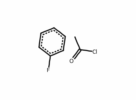 CC(=O)Cl.Fc1ccccc1